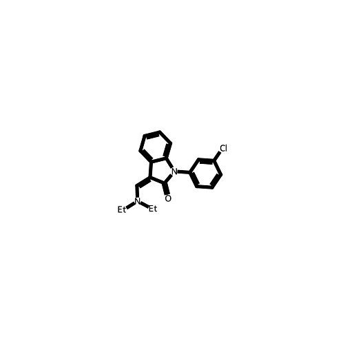 CCN(C=C1C(=O)N(c2cccc(Cl)c2)c2ccccc21)CC